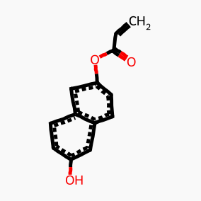 C=CC(=O)Oc1ccc2cc(O)ccc2c1